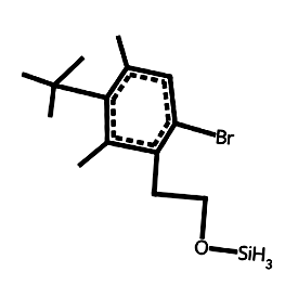 Cc1cc(Br)c(CCO[SiH3])c(C)c1C(C)(C)C